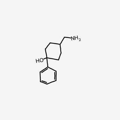 NCC1CCC(O)(c2ccccc2)CC1